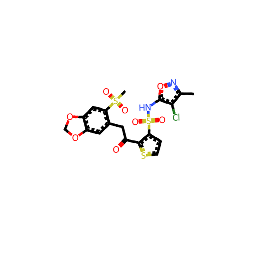 Cc1noc(NS(=O)(=O)c2ccsc2C(=O)Cc2cc3c(cc2S(C)(=O)=O)OCO3)c1Cl